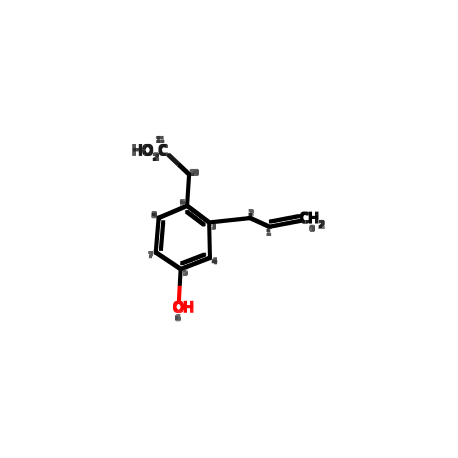 C=CCc1cc(O)ccc1CC(=O)O